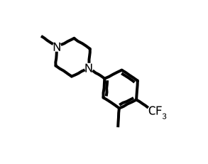 Cc1cc(N2CCN(C)CC2)ccc1C(F)(F)F